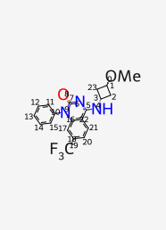 CO[C@H]1C[C@H](Nc2nc(=O)n(-c3ccccc3)c3cc(C(F)(F)F)ccc23)C1